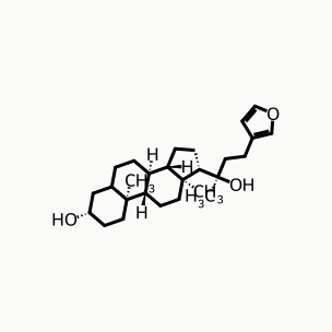 C[C@]12CC[C@H]3[C@@H](CCC4C[C@@H](O)CC[C@@]43C)[C@@H]1CC[C@@H]2[C@](C)(O)CCc1ccoc1